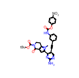 Cn1c(-c2nc(N)ncc2C#Cc2cccc(NC(=O)Oc3ccc([N+](=O)[O-])cc3)c2)cc2c1CCN(C(=O)OC(C)(C)C)C2=O